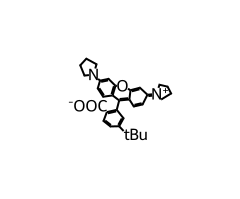 CC(C)(C)c1ccc(C(=O)[O-])c(-c2c3ccc(=[N+]4CCCC4)cc-3oc3cc(N4CCCC4)ccc23)c1